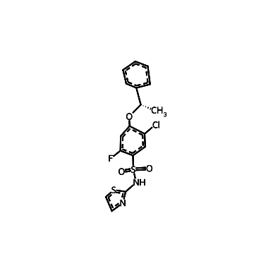 C[C@H](Oc1cc(F)c(S(=O)(=O)Nc2nccs2)cc1Cl)c1ccccc1